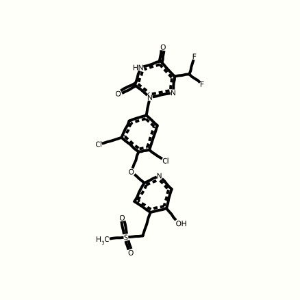 CS(=O)(=O)Cc1cc(Oc2c(Cl)cc(-n3nc(C(F)F)c(=O)[nH]c3=O)cc2Cl)ncc1O